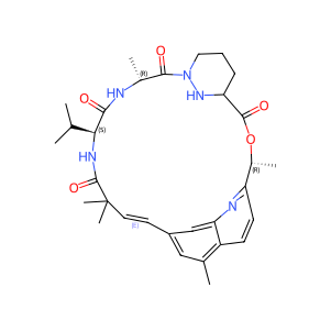 Cc1cc2cc3nc(ccc13)[C@@H](C)OC(=O)C1CCCN(N1)C(=O)[C@@H](C)NC(=O)[C@H](C(C)C)NC(=O)C(C)(C)/C=C/2